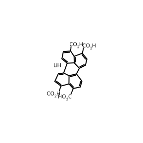 O=C(O)c1ccc2c3ccc(C(=O)O)c4c(C(=O)O)ccc(c5ccc(C(=O)O)c1c25)c43.[LiH]